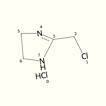 Cl.ClCC1=NCCN1